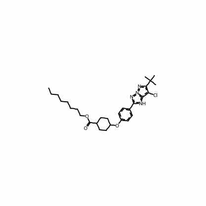 CCCCCCCCOC(=O)C1CCC(Oc2ccc(-c3nn4nc(C(C)(C)C)c(Cl)c4[nH]3)cc2)CC1